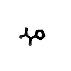 O=C(n1cccc1)[N+](=O)[O-]